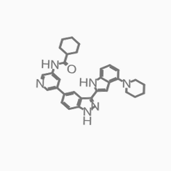 O=C(Nc1cncc(-c2ccc3[nH]nc(-c4cc5c(N6CCCCC6)cccc5[nH]4)c3c2)c1)C1CCCCC1